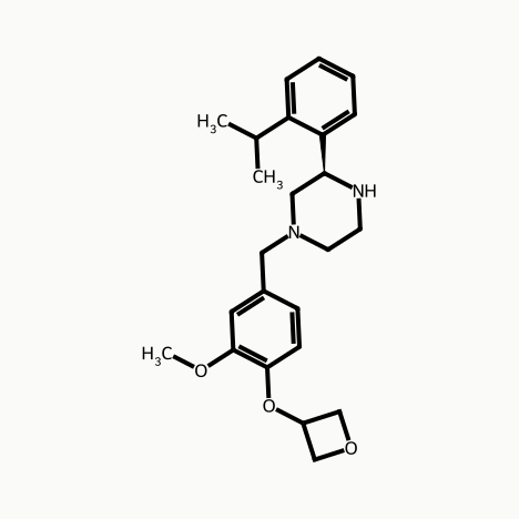 COc1cc(CN2CCN[C@H](c3ccccc3C(C)C)C2)ccc1OC1COC1